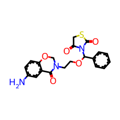 Nc1ccc2c(c1)C(=O)N(CCOC(c1ccccc1)N1C(=O)CSC1=O)CO2